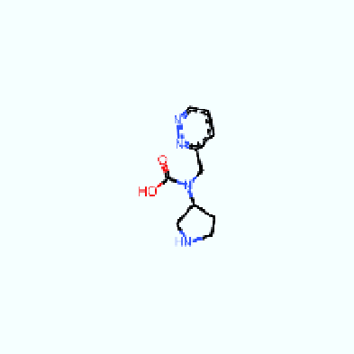 O=C(O)N(Cc1cccnn1)C1CCNC1